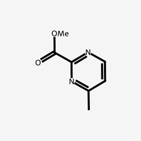 COC(=O)c1nccc(C)n1